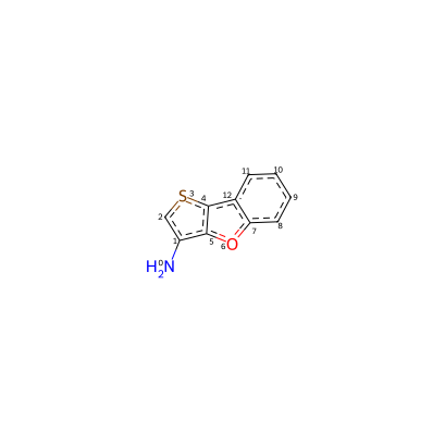 Nc1csc2c1oc1ccccc12